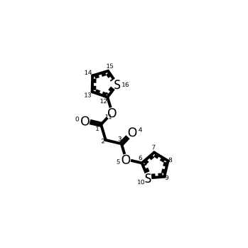 O=C(CC(=O)Oc1cccs1)Oc1cccs1